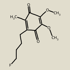 COC1=C(OC)C(=O)C(CCCCF)=C(C)C1=O